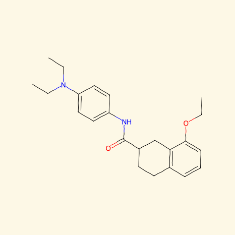 CCOc1cccc2c1CC(C(=O)Nc1ccc(N(CC)CC)cc1)CC2